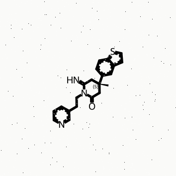 C[C@]1(c2ccc3sccc3c2)CC(=N)N(CCc2cccnc2)C(=O)C1